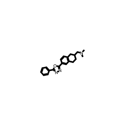 CN(C)CC1CCc2cc(-c3nnc(-c4ccccc4)o3)ccc2C1